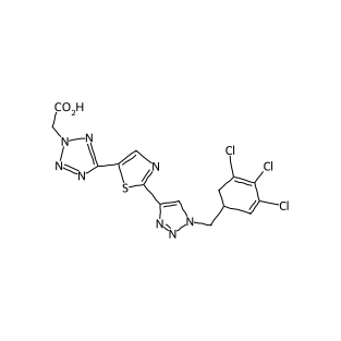 O=C(O)Cn1nnc(-c2cnc(-c3cn(CC4C=C(Cl)C(Cl)=C(Cl)C4)nn3)s2)n1